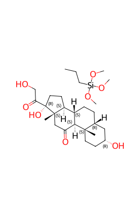 CCC[Si](OC)(OC)OC.C[C@]12CC[C@@H](O)C[C@H]1CC[C@@H]1[C@@H]2C(=O)C[C@@]2(C)[C@H]1CC[C@]2(O)C(=O)CO